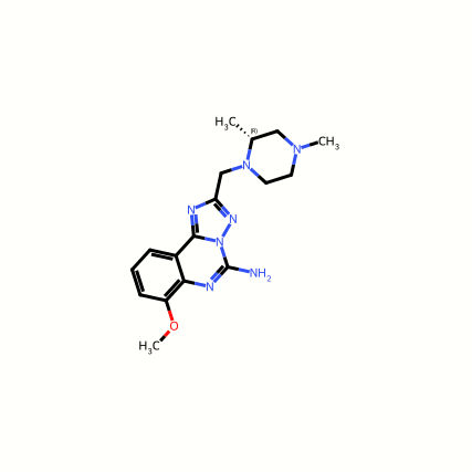 COc1cccc2c1nc(N)n1nc(CN3CCN(C)C[C@H]3C)nc21